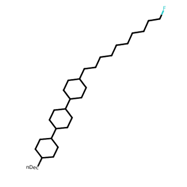 CCCCCCCCCCC1CCC(C2CCC(C3CCC(CCCCCCCCCCF)CC3)CC2)CC1